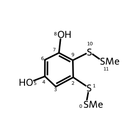 CSSc1cc(O)cc(O)c1SSC